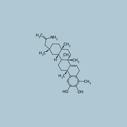 C=C(N)C[C@]1(C)CC[C@]2(C)CC[C@]3(C)C4=CCc5c(cc(O)c(O)c5C)[C@]4(C)CC[C@@]3(C)[C@@H]2C1